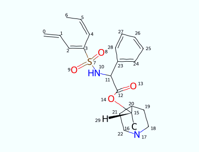 C=C/C=C(\C=C/C)S(=O)(=O)NC(C(=O)O[C@H]1CN2CCC1CC2)c1ccccc1